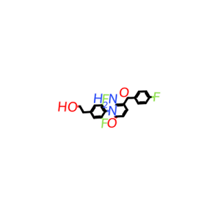 Nc1c(C(=O)c2ccc(F)cc2)ccc(=O)n1-c1c(F)cc(CCO)cc1F